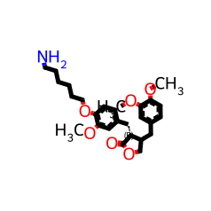 COc1ccc(CC2COC(=O)[C@@H]2Cc2ccc(OCCCCCCN)c(OC)c2)cc1OC